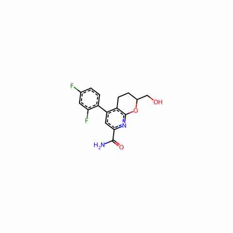 NC(=O)c1cc(-c2ccc(F)cc2F)c2c(n1)OC(CO)CC2